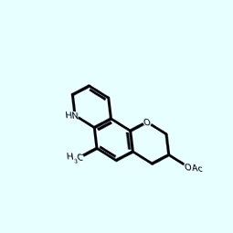 CC(=O)OC1COc2c(cc(C)c3c2C=CCN3)C1